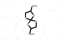 CCCCCCCCC1COC2(OCC(CCCCCCCC)O2)O1